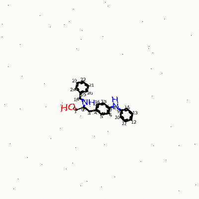 OC[C@H](Cc1ccc(Nc2ccccc2)cc1)NCc1ccccc1